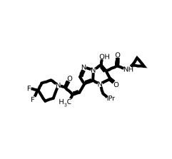 CC(=Cc1cnn2c(O)c(C(=O)NC3CC3)c(=O)n(CC(C)C)c12)C(=O)N1CCC(F)(F)CC1